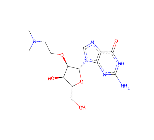 CN(C)CCO[C@@H]1[C@H](O)[C@@H](CO)O[C@H]1n1cnc2c(=O)[nH]c(N)nc21